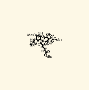 CO[C@H]1[C@H](O)[C@@H](O[C@H]2OC[C@](C)(O)[C@H](N(C)C(=O)OC(C)(C)C)[C@H]2O)[C@H](NC(=O)[C@@H](O)CCNC(=O)OC(C)(C)C)C[C@@H]1NC(=O)OC(C)(C)C